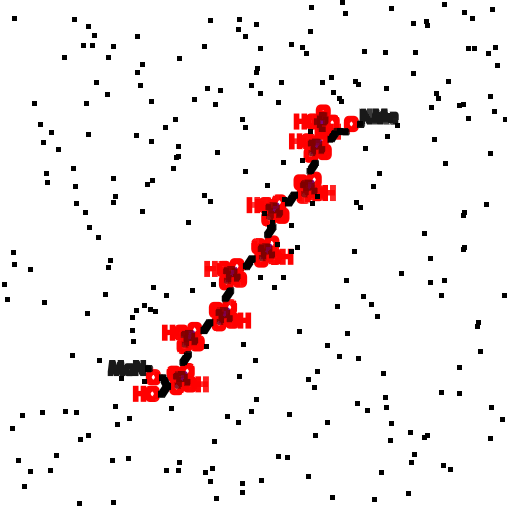 CNCOCC(COP(=O)(O)OCCOP(=O)(O)OCCOP(=O)(O)OCCOP(=O)(O)OCCOP(=O)(O)OCCOP(=O)(O)OCCOP(=O)(O)OCCOP(=O)(O)OC(CO)COCNC)OP(=O)(O)O